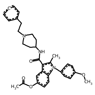 COc1ccc(-n2c(C)c(C(=O)NC3CCN(CCc4ccccc4)CC3)c3cc(OC(C)=O)ccc32)cc1